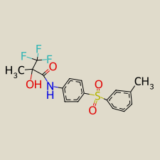 Cc1cccc(S(=O)(=O)c2ccc(NC(=O)C(C)(O)C(F)(F)F)cc2)c1